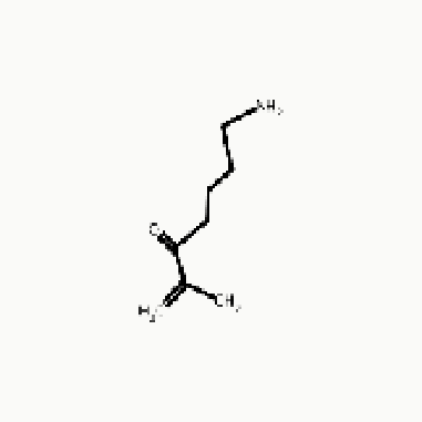 C=C(C)C(=O)CCCCN